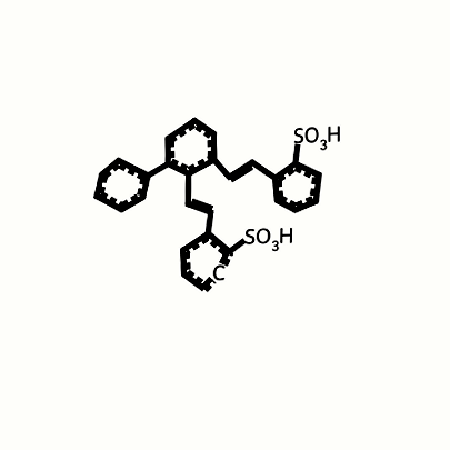 O=S(=O)(O)c1ccccc1C=Cc1cccc(-c2ccccc2)c1C=Cc1ccccc1S(=O)(=O)O